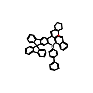 c1ccc(-c2ccc(N(c3cc4c(cc3-c3ccc5c(c3)CCCC5)-c3ccccc3C43c4ccccc4-c4ccccc43)c3cccc4ccccc34)cc2)cc1